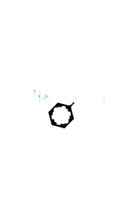 F.O=C(O)c1ccccc1.[NaH]